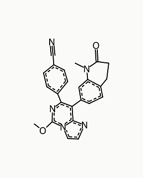 COc1nc(-c2ccc(C#N)cc2)c(-c2ccc3c(c2)N(C)C(=O)CC3)c2nccn12